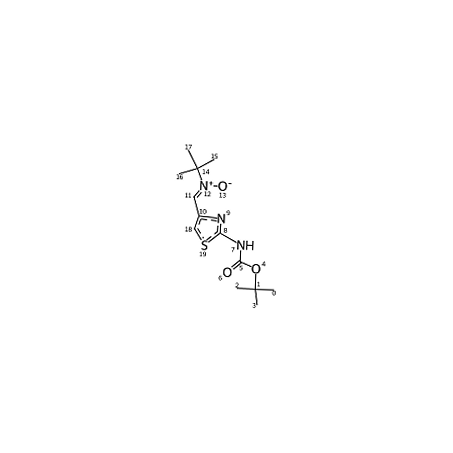 CC(C)(C)OC(=O)Nc1nc(C=[N+]([O-])C(C)(C)C)cs1